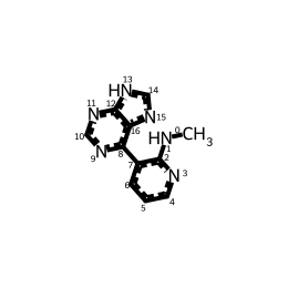 CNc1ncccc1-c1ncnc2[nH]cnc12